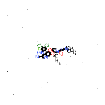 CCOc1cc2ncc(C#N)c(Nc3ccc(Cl)c(Cl)c3F)c2cc1OC1CCN(C(=O)/C=C/CN(C)C)CC1